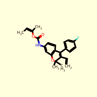 C=CC1=C(c2ccc(F)cc2)c2ccc(NC(=O)O/C(C)=C\C)cc2OC1(C)C